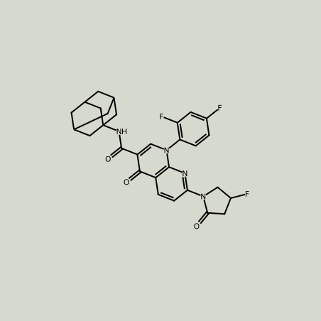 O=C(NC12CC3CC(CC(C3)C1)C2)c1cn(-c2ccc(F)cc2F)c2nc(N3CC(F)CC3=O)ccc2c1=O